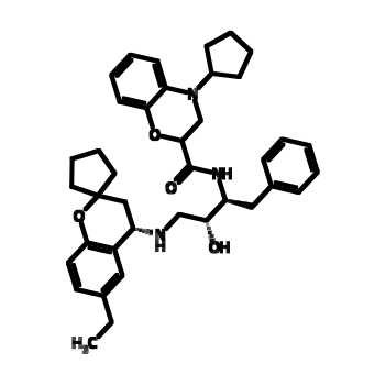 CCc1ccc2c(c1)[C@@H](NC[C@@H](O)[C@H](Cc1ccccc1)NC(=O)C1CN(C3CCCC3)c3ccccc3O1)CC1(CCCC1)O2